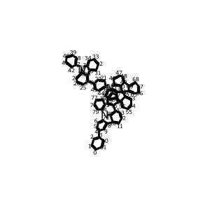 c1ccc(-c2ccc3c(c2)c2cccc(-c4ccc(N(c5ccc(-c6cccc7c6c6ccccc6n7-c6ccccc6)cc5)c5cccc6c5C5(c7ccccc7-c7ccccc75)c5ccccc5-6)cc4)c2n3-c2ccccc2)cc1